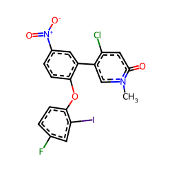 Cn1cc(-c2cc([N+](=O)[O-])ccc2Oc2ccc(F)cc2I)c(Cl)cc1=O